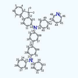 CC1(C)c2ccccc2-c2ccc(N(c3ccc(-c4ccc(N(c5ccccc5)c5ccccc5)cc4)cc3)c3ccc(-c4cccnc4)cc3)cc21